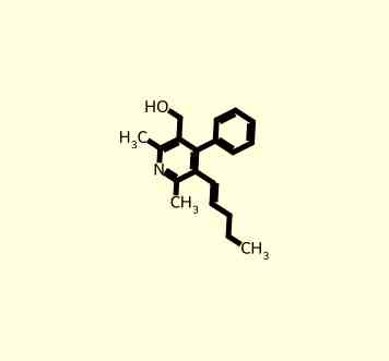 CCCC=Cc1c(C)nc(C)c(CO)c1-c1ccccc1